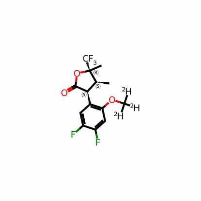 [2H]C([2H])([2H])Oc1cc(F)c(F)cc1[C@H]1C(=O)O[C@@](C)(C(F)(F)F)[C@H]1C